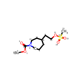 CC(C)(C)OC(=O)N1CCCC(CCOS(C)(=O)=O)CC1